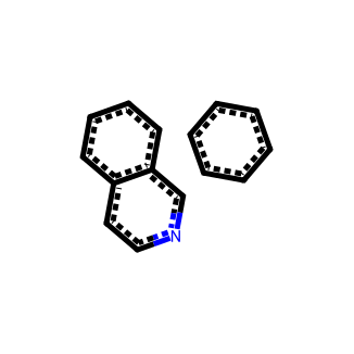 c1ccc2cnccc2c1.c1ccccc1